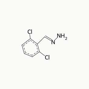 NN=Cc1c(Cl)cccc1Cl